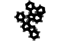 c1ccc(-c2ccccc2-c2sc(-c3c(-c4ccccc4)ccc4c3sc3ccccc34)c3ccccc23)cc1